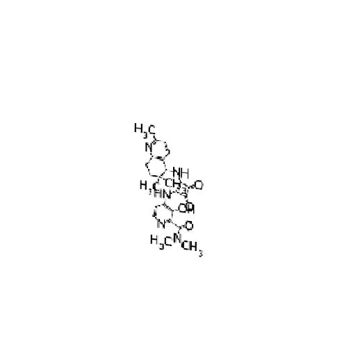 Cc1ccc2c(n1)CCC(C)(C)C2Nc1c(Nc2ccnc(C(=O)N(C)C)c2O)c(=O)c1=O